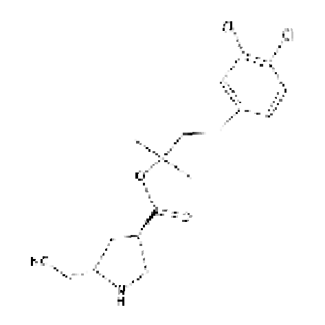 CC(C)(CCc1ccc(Cl)c(Cl)c1)OC(=O)[C@H]1CN[C@H](CC#N)C1